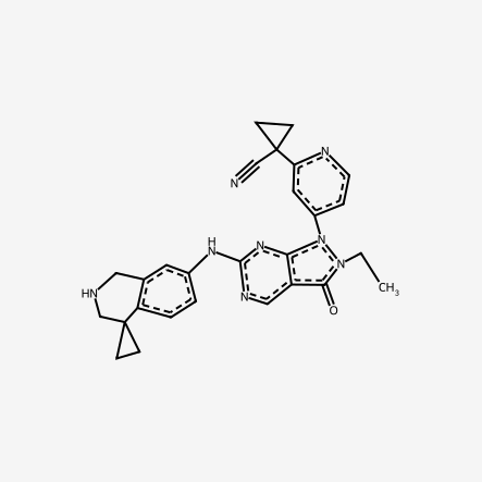 CCn1c(=O)c2cnc(Nc3ccc4c(c3)CNCC43CC3)nc2n1-c1ccnc(C2(C#N)CC2)c1